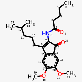 CCCCC(=O)NC1=C(CCCC(C)C)c2cc(OC)c(OC)cc2C1=O